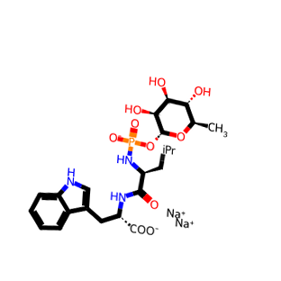 CC(C)C[C@H](NP(=O)([O-])O[C@H]1O[C@H](C)[C@@H](O)[C@H](O)[C@@H]1O)C(=O)N[C@@H](Cc1c[nH]c2ccccc12)C(=O)[O-].[Na+].[Na+]